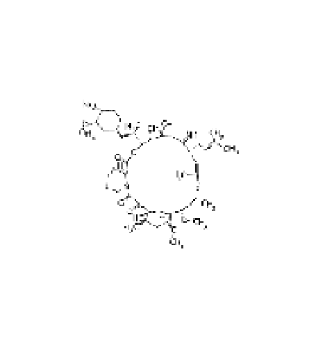 CO[C@H]1C[C@@H](C)C/C(C)=C/[C@@H](CC=C(C)C)C(=N)C[C@H](O)[C@@H](C)[C@@H](/C(C)=C/[C@@H]2CC[C@@H](O)[C@H](OC)C2)OC(=O)[C@@H]2CCCCN2C(=O)C(=O)[C@]2(O)O[C@H]1[C@@H](OC)C[C@H]2C